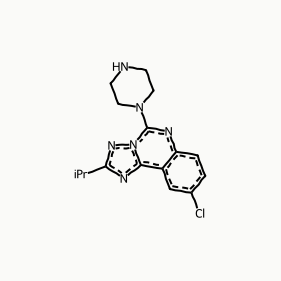 CC(C)c1nc2c3cc(Cl)ccc3nc(N3CCNCC3)n2n1